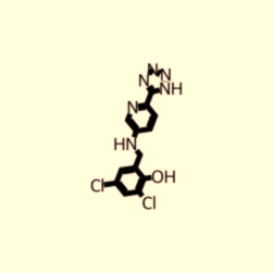 Oc1c(Cl)cc(Cl)cc1CNc1ccc(-c2nnn[nH]2)nc1